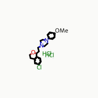 COc1ccc(N2CCN(CCC3OCCc4cc(Cl)ccc43)CC2)cc1.Cl.Cl